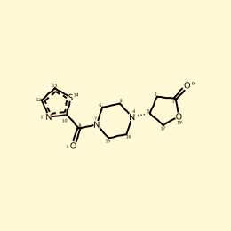 O=C1C[C@@H](N2CCN(C(=O)c3nccs3)CC2)CO1